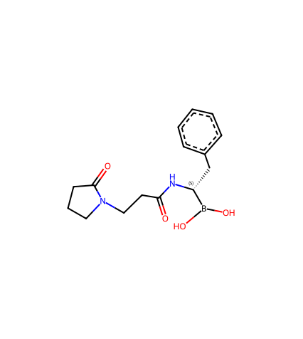 O=C(CCN1CCCC1=O)N[C@H](Cc1ccccc1)B(O)O